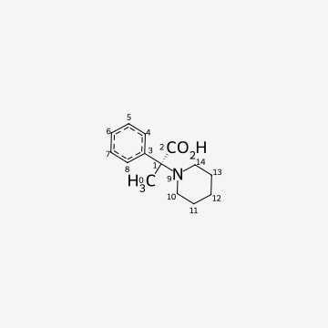 C[C@@](C(=O)O)(c1ccccc1)N1CCCCC1